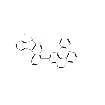 CC1(C)c2ccccc2-c2c1ccc1c(-c3nc(-c4ccccc4)c4c(ccc5ccccc54)n3)cccc21